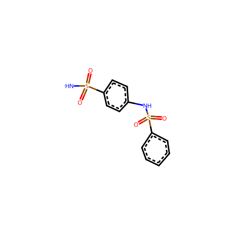 [NH]S(=O)(=O)c1ccc(NS(=O)(=O)c2ccccc2)cc1